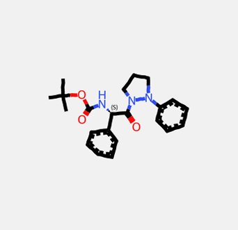 CC(C)(C)OC(=O)N[C@H](C(=O)N1CCCN1c1ccccc1)c1ccccc1